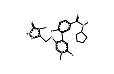 Cc1cc(OCc2n[nH]c(=O)n2C)c(-c2cc(C(=O)N(C)C3CCCC3)ccc2F)cc1Cl